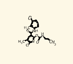 CCCNC(=O)Oc1nc(Cl)c(C)cc1C(=O)Nc1cccc(Cl)c1C